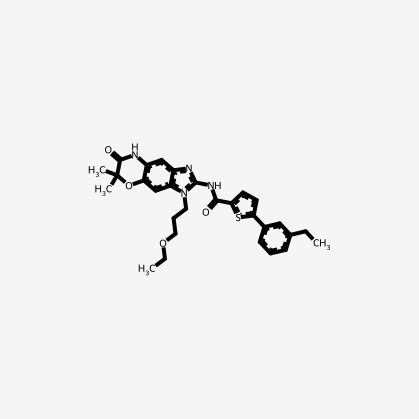 CCOCCCn1c(NC(=O)c2ccc(-c3cccc(CC)c3)s2)nc2cc3c(cc21)OC(C)(C)C(=O)N3